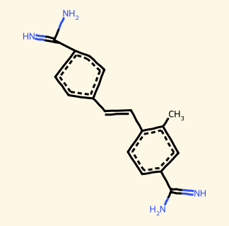 Cc1cc(C(=N)N)ccc1/C=C/c1ccc(C(=N)N)cc1